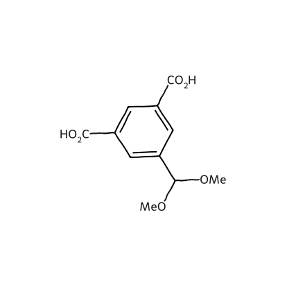 COC(OC)c1cc(C(=O)O)cc(C(=O)O)c1